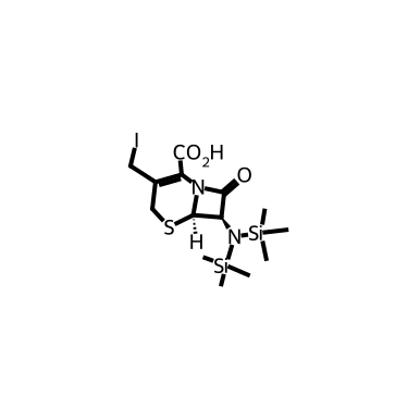 C[Si](C)(C)N([C@@H]1C(=O)N2C(C(=O)O)=C(CI)CS[C@H]12)[Si](C)(C)C